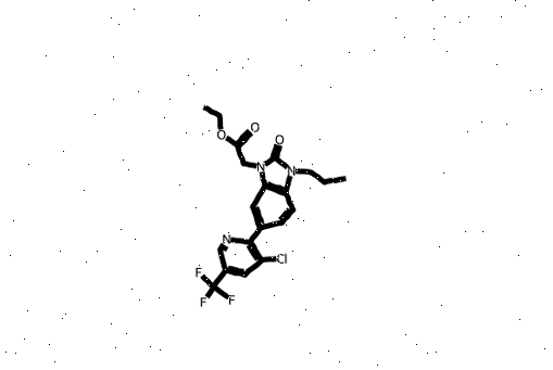 CCCn1c(=O)n(CC(=O)OCC)c2cc(-c3ncc(C(F)(F)F)cc3Cl)ccc21